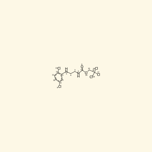 O=C(NCCNc1cc(Cl)ccc1Cl)OCC(Cl)(Cl)Cl